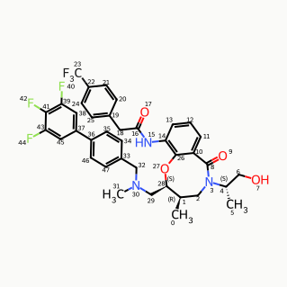 C[C@@H]1CN([C@@H](C)CO)C(=O)c2cccc(NC(=O)Cc3ccc(C(F)(F)F)cc3)c2O[C@@H]1CN(C)Cc1ccc(-c2cc(F)c(F)c(F)c2)cc1